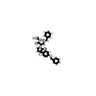 CC1(c2ccc(OCc3ccccc3)cc2)CCN(C(COCc2ccccc2)C(=O)NO)C1=O